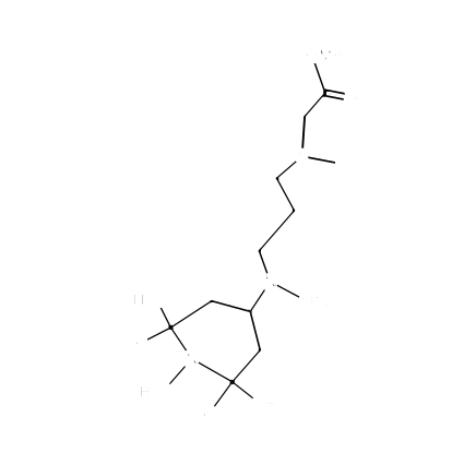 CCCCN(CCC[S+]([O-])CC(=O)OC)C1CC(C)(C)N(C)C(C)(C)C1